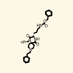 CCCN1C(=O)[C@H](CCCCNC(=O)OCc2ccccc2)NC(=O)C12CCN(CCc1ccccc1)CC2